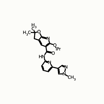 CC(C)Oc1nc2c(cc1C(=O)Nc1cccc(-c3cnn(C)c3)n1)CC(C)(C)O2